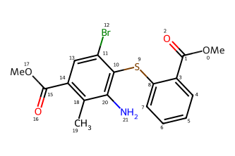 COC(=O)c1ccccc1Sc1c(Br)cc(C(=O)OC)c(C)c1N